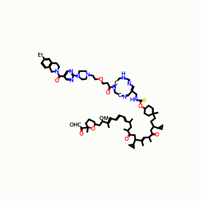 CCc1ccc2c(c1)CCN(C(=O)c1cnc(N3CCN(CCOCCC(=O)N4CC\N=C/C(CNC(=S)OC5CCC(C)(CCC(CC(=O)C(C)/C=C(\C)C(CC(=O)C(C)CC(C)/C=C/C=C/C=C(\C)C(CC6CCCC(C)(C(=O)C=O)O6)OC)C6CC6)C6CC6)CC5)=C\N=C\NCC4)CC3)nc1)C2